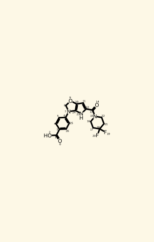 O=C(O)c1ccc(N2COc3cc(C(=O)N4CCC(F)(F)CC4)[nH]c32)cc1